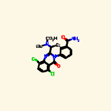 CCC(c1nc2c(Cl)ccc(Cl)c2c(=O)n1-c1cccc(C(N)=O)c1)N(C(=O)O)C(C)(C)C